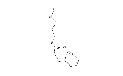 CN(C)CCCOc1c[c]c2ccccc2n1